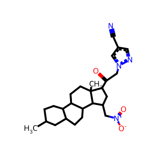 CC1CCC2C(CCC3C2CCC2(C)C(C(=O)Cn4cc(C#N)cn4)CC(C[N+](=O)[O-])C32)C1